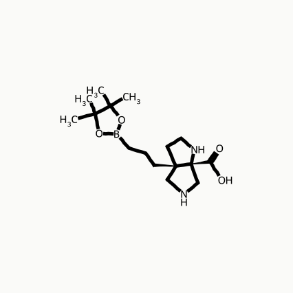 CC1(C)OB(CCC[C@@]23CCN[C@]2(C(=O)O)CNC3)OC1(C)C